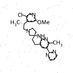 COc1cc([C@@H](C)CN2CC[C@@]3(CCc4cc(-c5ncccn5)c(C)nc4N3)C2)c(Cl)cn1